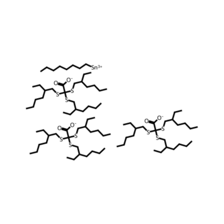 CCCCC(CC)CSC(SCC(CC)CCCC)(SCC(CC)CCCC)C(=O)[O-].CCCCC(CC)CSC(SCC(CC)CCCC)(SCC(CC)CCCC)C(=O)[O-].CCCCC(CC)CSC(SCC(CC)CCCC)(SCC(CC)CCCC)C(=O)[O-].CCCCCCC[CH2][Sn+3]